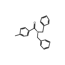 Cc1ccc(C(=O)N(Cc2ccccc2)Cc2ccccc2)cc1